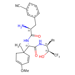 COC1=CCC(C)([C@H](NC(=O)[C@@H](N)Cc2cccc(C#N)c2)C(=O)N[C@@H](C(C)C)[C@H](O)C(F)(F)F)C=C1